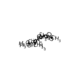 CCC(CC)(c1ccc(CCC(O)C(C)(C)C)c(C)c1)c1ccc(-c2ccc(C(=O)C(C)=O)cc2)c(C)c1